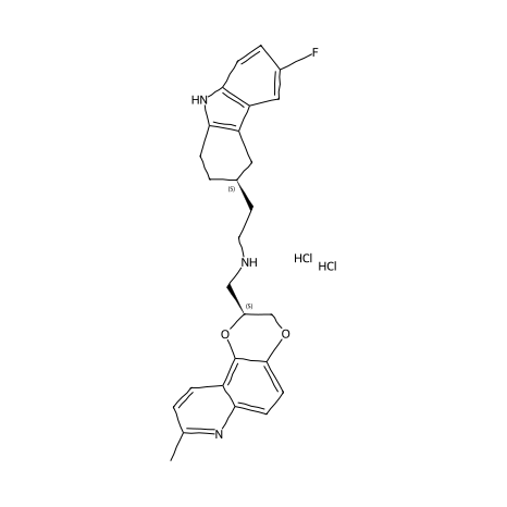 Cc1ccc2c3c(ccc2n1)OC[C@H](CNCC[C@H]1CCc2[nH]c4ccc(F)cc4c2C1)O3.Cl.Cl